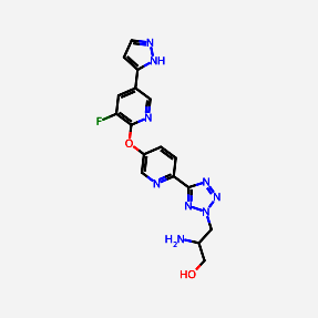 NC(CO)Cn1nnc(-c2ccc(Oc3ncc(-c4ccn[nH]4)cc3F)cn2)n1